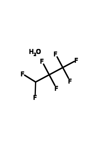 FC(F)C(F)(F)C(F)(F)F.O